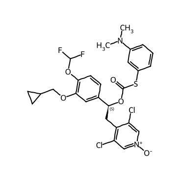 CN(C)c1cccc(SC(=O)O[C@@H](Cc2c(Cl)c[n+]([O-])cc2Cl)c2ccc(OC(F)F)c(OCC3CC3)c2)c1